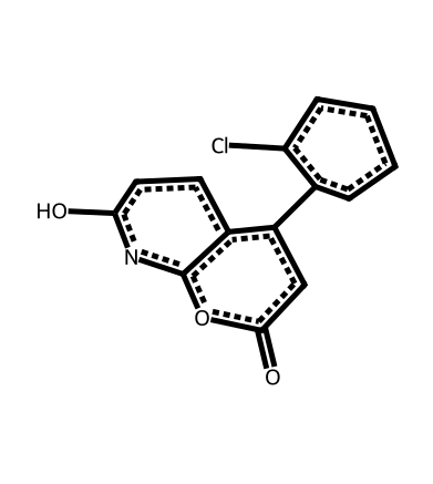 O=c1cc(-c2ccccc2Cl)c2ccc(O)nc2o1